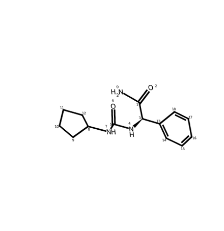 NC(=O)[C@H](NC(=O)NC1CCCC1)c1ccccc1